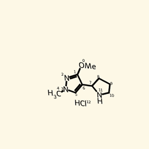 COc1nn(C)cc1C1CCCN1.Cl